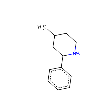 CC1CCNC(c2ccccc2)C1